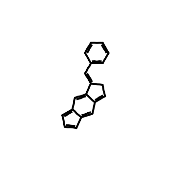 C1=Cc2cc3c(cc2=C1)C(=Cc1ccccc1)CC=3